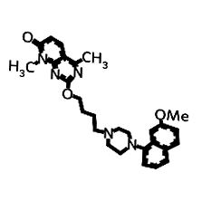 COc1ccc2cccc(N3CCN(CCCCOc4nc(C)c5ccc(=O)n(C)c5n4)CC3)c2c1